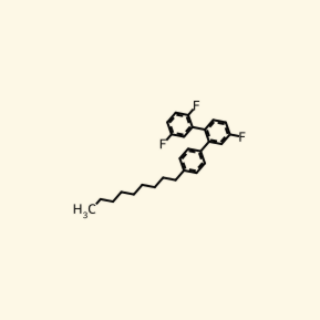 CCCCCCCCCc1ccc(-c2cc(F)ccc2-c2cc(F)ccc2F)cc1